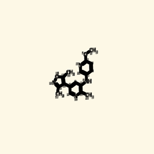 COc1ccc(Nc2cc(-c3c(C)noc3C)cnc2C)cn1